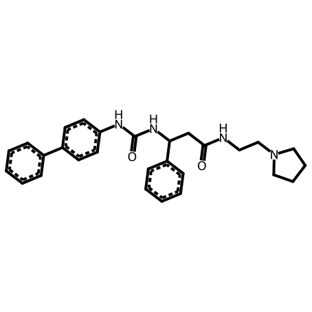 O=C(CC(NC(=O)Nc1ccc(-c2ccccc2)cc1)c1ccccc1)NCCN1CCCC1